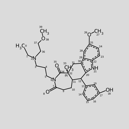 CCN(CCCN1C(=O)CCC2C(c3cccc(O)c3)c3[nH]c4ccc(OC)cc4c3C[C@@]2(C)C1=O)CCOC